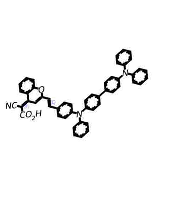 N#C/C(C(=O)O)=C1C=C(/C=C/c2ccc(N(c3ccccc3)c3ccc(-c4ccc(N(c5ccccc5)c5ccccc5)cc4)cc3)cc2)Oc2ccccc2/1